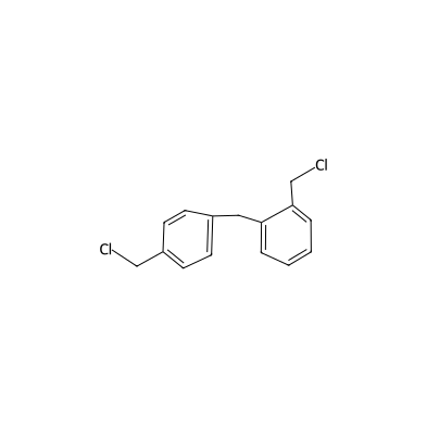 ClCc1ccc(Cc2ccccc2CCl)cc1